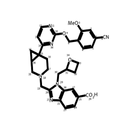 COc1cc(C#N)ccc1COc1nccc(C23CCN(Cc4nc5ccc(C(=O)O)cc5n4CC4CCO4)CC2C3)n1